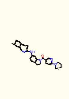 Cc1ccc2/c(c1)=C\N=C(Nc1ccc3c(c1)N(C(=O)c1ccc(N4CCCCC4)nc1)CC3)/C=C/C=2